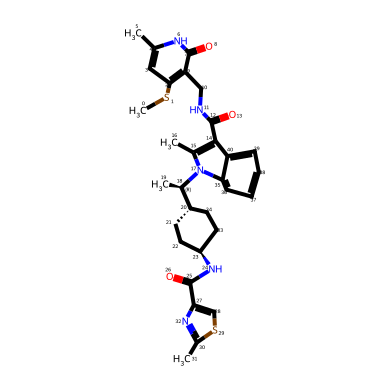 CSc1cc(C)[nH]c(=O)c1CNC(=O)c1c(C)n([C@H](C)[C@H]2CC[C@H](NC(=O)c3csc(C)n3)CC2)c2ccccc12